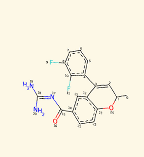 CC1C=C(c2cccc(F)c2F)c2cc(C(=O)N=C(N)N)ccc2O1